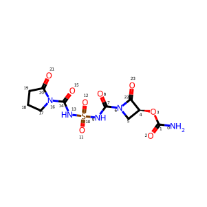 NC(=O)O[C@H]1CN(C(=O)NS(=O)(=O)NC(=O)N2CCCC2=O)C1=O